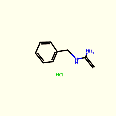 C=C(N)NCc1ccccc1.Cl